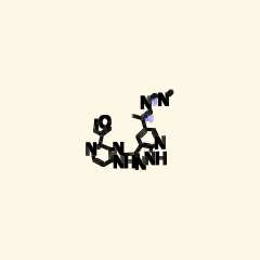 C=N/C=N\C=C(/C)c1cnc2[nH]nc(-c3nc4c(-c5ccoc5)nccc4[nH]3)c2c1